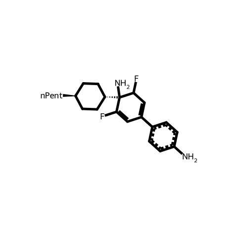 CCCCC[C@H]1CC[C@H](C2(N)C(F)=CC(c3ccc(N)cc3)=CC2F)CC1